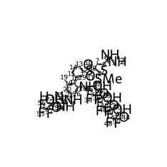 CSc1sc(C(=N)N)cc1S(=O)(=O)c1cccc(-c2c(C)cc(NC(=N)N)cc2N)c1.O=C(O)C(F)(F)F.O=C(O)C(F)(F)F.O=C(O)C(F)(F)F.O=C(O)C(F)(F)F